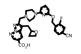 N#Cc1ccc(COc2cccc(N3CCN(Cc4nn5ncc(C(=O)O)cc5c4CC4CCO4)CC3)n2)c(F)c1